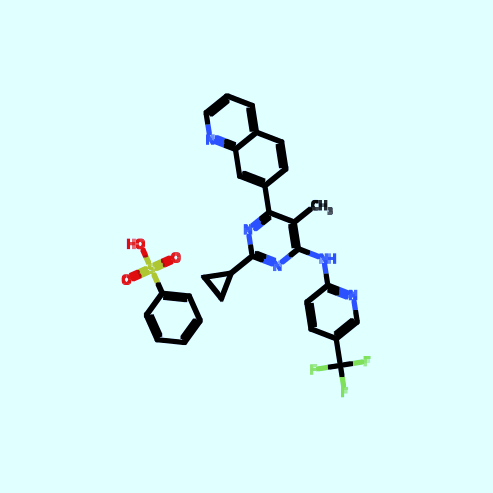 Cc1c(Nc2ccc(C(F)(F)F)cn2)nc(C2CC2)nc1-c1ccc2cccnc2c1.O=S(=O)(O)c1ccccc1